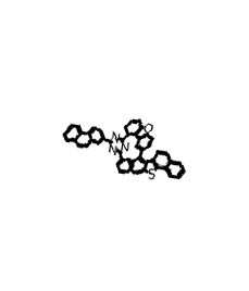 C1=Cc2oc3ccc(-c4cccc5sc6c7ccccc7ccc6c45)cc3c2C(c2nc(-c3ccccc3)nc(-c3ccc4c(ccc5ccccc54)c3)n2)C1